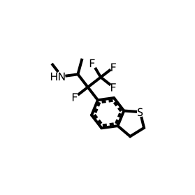 CNC(C)C(F)(c1ccc2c(c1)SCC2)C(F)(F)F